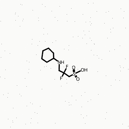 O=S(=O)(O)CC(F)(F)CNC1CCCCC1